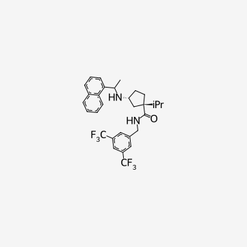 CC(N[C@@H]1CC[C@@](C(=O)NCc2cc(C(F)(F)F)cc(C(F)(F)F)c2)(C(C)C)C1)c1cccc2ccccc12